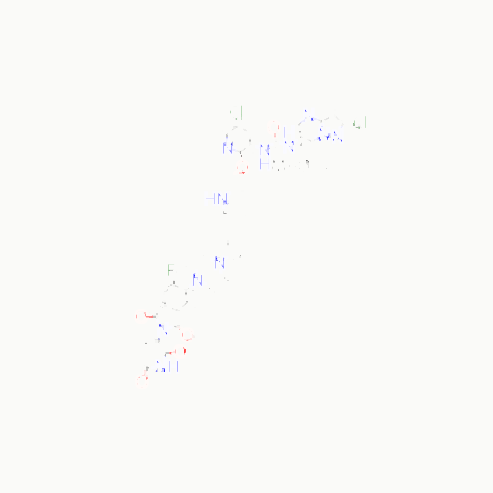 COC(C)c1c(NC(=O)Nc2cc(Cl)cnc2OCCNC2CCC(CN3CCN(c4cc5c(cc4F)C(=O)N(C4CCC(=O)NC4=O)C5=O)CC3)CC2)cnc2cc(Cl)nn12